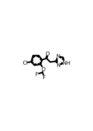 O=C(Cc1nc[nH]n1)c1ccc(Cl)cc1OC(F)F